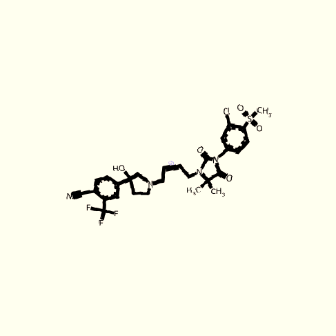 CC1(C)C(=O)N(c2ccc(S(C)(=O)=O)c(Cl)c2)C(=O)N1C/C=C\CN1CCC(O)(c2ccc(C#N)c(C(F)(F)F)c2)C1